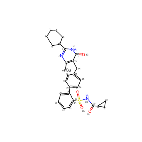 CCCCc1nc(C2CCCCC2)[nH]c(=O)c1Cc1ccc(-c2ccccc2S(=O)(=O)NC(=O)C2CC2)cc1